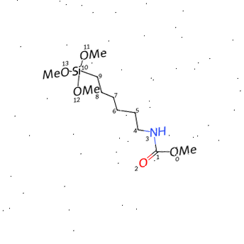 COC(=O)NCCCCCC[Si](OC)(OC)OC